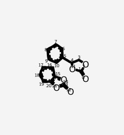 O=C1OCC(c2ccccc2)O1.O=c1oc2ccccc2o1